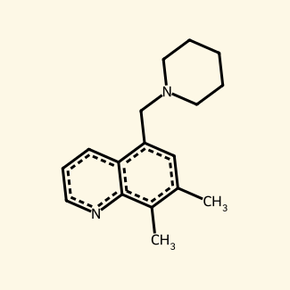 Cc1cc(CN2CCCCC2)c2cccnc2c1C